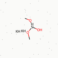 CO[SiH](O)OC.[KH].[KH]